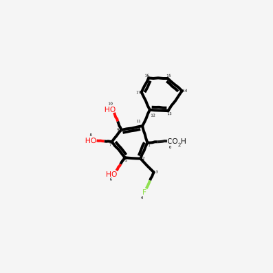 O=C(O)c1c(CF)c(O)c(O)c(O)c1-c1ccccc1